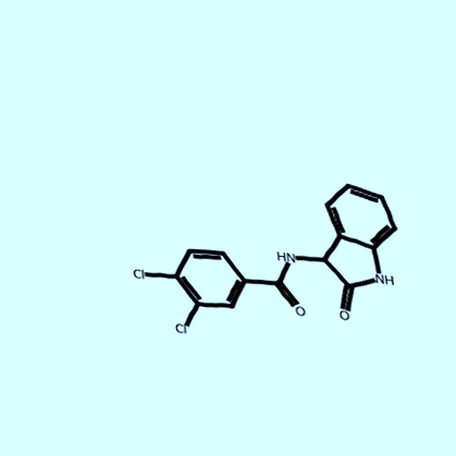 O=C(NC1C(=O)Nc2ccccc21)c1ccc(Cl)c(Cl)c1